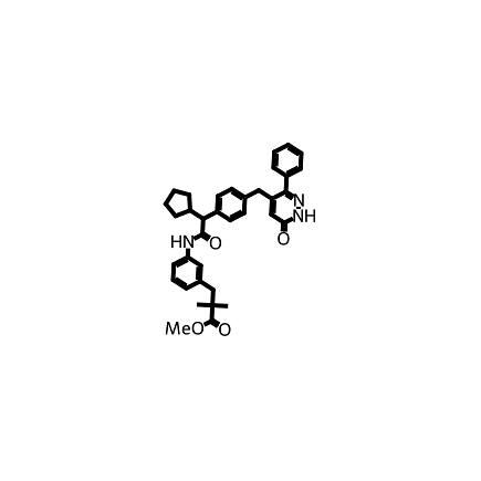 COC(=O)C(C)(C)Cc1cccc(NC(=O)C(c2ccc(Cc3cc(=O)[nH]nc3-c3ccccc3)cc2)C2CCCC2)c1